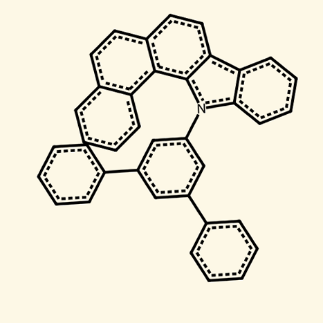 c1ccc(-c2cc(-c3ccccc3)cc(-n3c4ccccc4c4ccc5ccc6ccccc6c5c43)c2)cc1